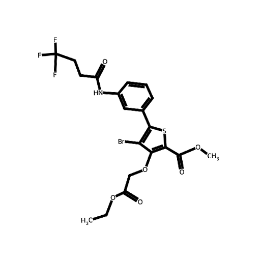 CCOC(=O)COc1c(C(=O)OC)sc(-c2cccc(NC(=O)CCC(F)(F)F)c2)c1Br